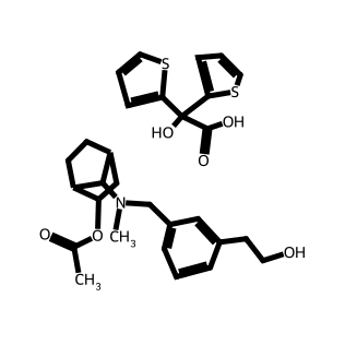 CC(=O)OC1CC2CCC1C2N(C)Cc1cccc(CCO)c1.O=C(O)C(O)(c1cccs1)c1cccs1